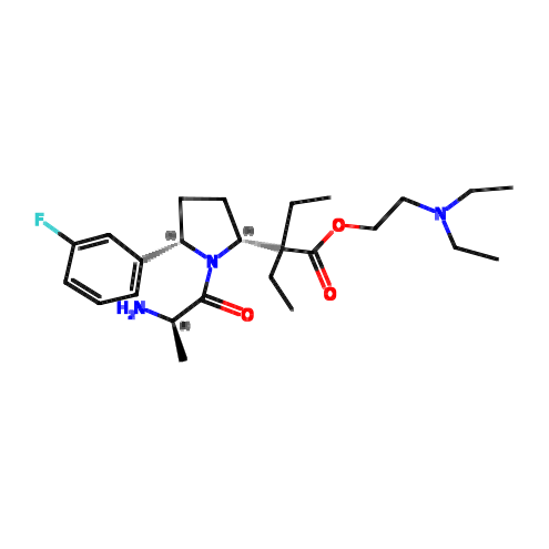 CCN(CC)CCOC(=O)C(CC)(CC)[C@H]1CC[C@@H](c2cccc(F)c2)N1C(=O)[C@@H](C)N